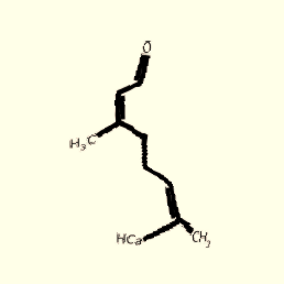 C[C]([CaH])=CCC/C(C)=C\C=O